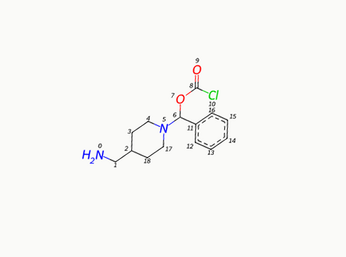 NCC1CCN(C(OC(=O)Cl)c2ccccc2)CC1